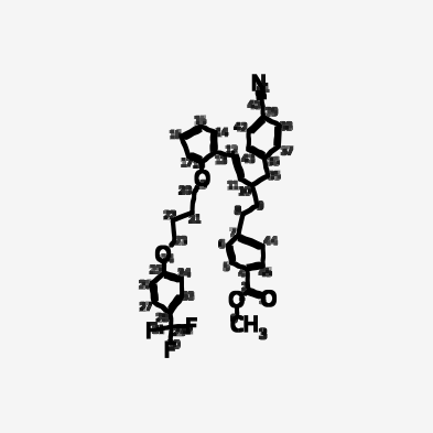 COC(=O)c1ccc(CCC(/C=C/c2ccccc2OCCCCOc2ccc(C(F)(F)F)cc2)Cc2ccc(C#N)cc2)cc1